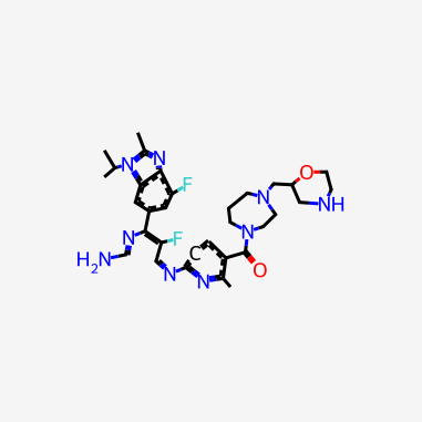 Cc1nc(\N=C/C(F)=C(\N=C\N)c2cc(F)c3nc(C)n(C(C)C)c3c2)ccc1C(=O)N1CCCN(CC2CNCCO2)CC1